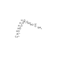 O.O.O.O.[Al+3].[Ca+2].[OH-].[OH-].[OH-].[OH-].[OH-].[SiH4]